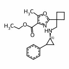 CCOC(=O)c1nc(C2(CN[C@H]3CC3c3ccccc3)CCC2)oc1C